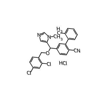 Cc1ccccc1-c1cc(C(OCc2ccc(Cl)cc2Cl)c2cncn2C)ccc1C#N.Cl